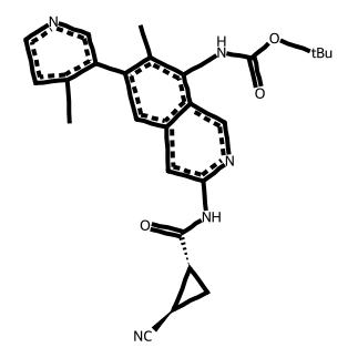 Cc1ccncc1-c1cc2cc(NC(=O)[C@@H]3C[C@H]3C#N)ncc2c(NC(=O)OC(C)(C)C)c1C